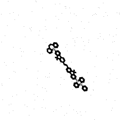 CC1(C)C2=CC(/C=C/c3ccc4c(c3)C(C)(C)c3cc(N5c6ccccc6N(c6ccccc6)c6ccccc65)ccc3-4)C=CC2c2ccc(N3C4=C(CCC=C4)CCc4ccccc43)cc21